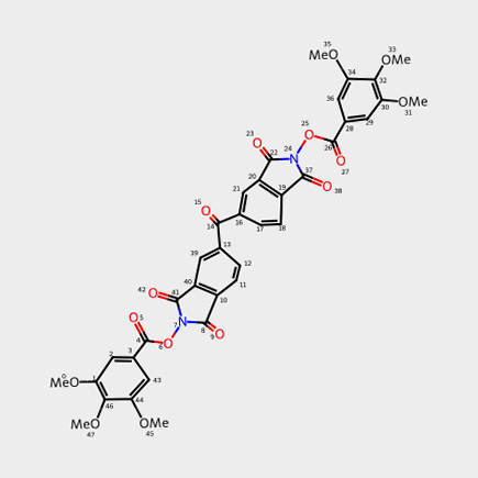 COc1cc(C(=O)ON2C(=O)c3ccc(C(=O)c4ccc5c(c4)C(=O)N(OC(=O)c4cc(OC)c(OC)c(OC)c4)C5=O)cc3C2=O)cc(OC)c1OC